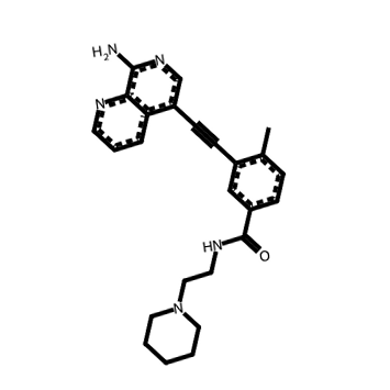 Cc1ccc(C(=O)NCCN2CCCCC2)cc1C#Cc1cnc(N)c2ncccc12